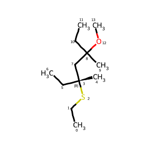 CCS[C@](C)(CC)CC(C)(CC)OC